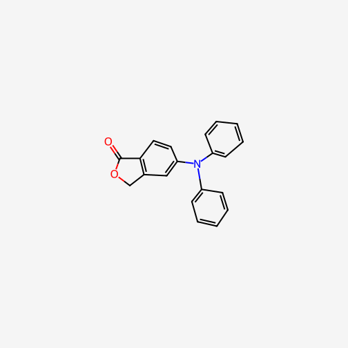 O=C1OCc2cc(N(c3ccccc3)c3ccccc3)ccc21